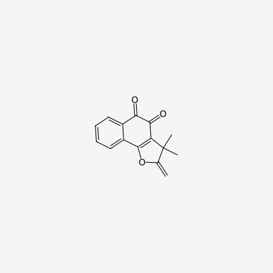 C=C1OC2=C(C(=O)C(=O)c3ccccc32)C1(C)C